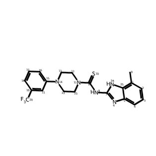 Cc1cccc2nc(NC(=S)N3CCN(c4cccc(C(F)(F)F)c4)CC3)[nH]c12